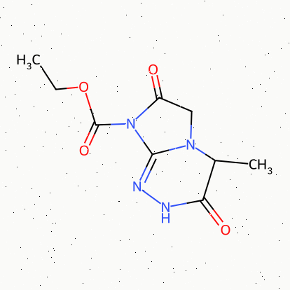 CCOC(=O)N1C(=O)CN2C1=NNC(=O)C2C